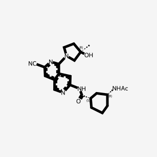 CC(=O)N[C@@H]1CCC[C@H](C(=O)Nc2cc3c(N4CC[C@@](C)(O)C4)nc(C#N)cc3cn2)C1